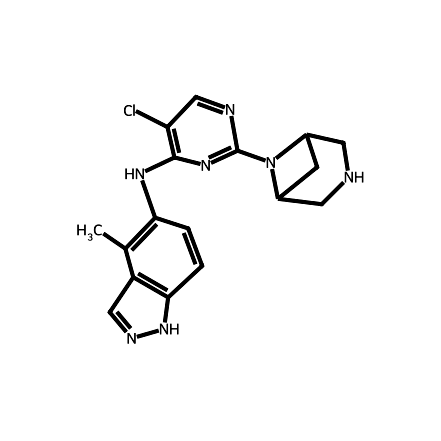 Cc1c(Nc2nc(N3C4CNCC3C4)ncc2Cl)ccc2[nH]ncc12